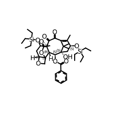 CC[Si](CC)(CC)OC1C[C@H]2OC[C@@]2(OC(C)=O)[C@H]2[C@H](OC(=O)c3ccccc3)[C@]3(O)C[C@H](O[Si](CC)(CC)CC)C(C)=C(C(=O)C(=O)[C@]12C)C3(C)C